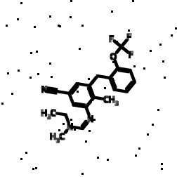 CCN(C)/C=N\c1cc(C#N)cc(Cc2ccccc2OC(F)(F)F)c1C